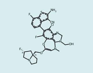 CN1C=C(OC[C@@]23CCCN2C[C@H](F)C3)Oc2c(F)c(-c3ccc(F)c4sc(N)c(C#N)c34)c(Cl)c3c2=C1N(CO)CN=3